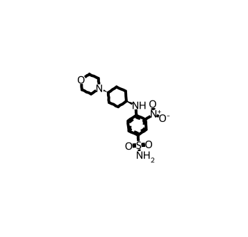 NS(=O)(=O)c1ccc(N[C@H]2CC[C@H](N3CCOCC3)CC2)c([N+](=O)[O-])c1